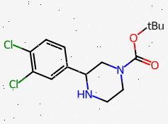 CC(C)(C)OC(=O)N1CCNC(c2ccc(Cl)c(Cl)c2)C1